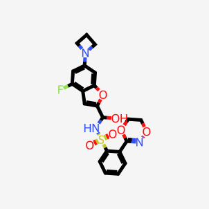 O=S(=O)(NC(O)c1cc2c(F)cc(N3CCC3)cc2o1)c1ccccc1C1=NOCCO1